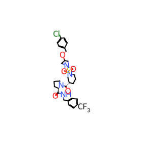 O=C(NCc1ccc(C(F)(F)F)cc1)[C@H]1CCCN1C(=O)[C@H]1CCCN(S(=O)(=O)N2CC(OCc3ccc(Cl)cc3)C2)C1